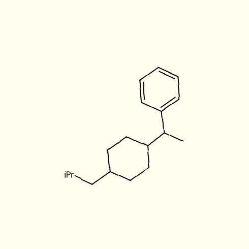 CC(C)CC1CCC(C(C)c2ccccc2)CC1